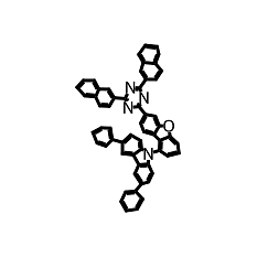 c1ccc(-c2ccc3c(c2)c2cc(-c4ccccc4)ccc2n3-c2cccc3oc4cc(-c5nc(-c6ccc7ccccc7c6)nc(-c6ccc7ccccc7c6)n5)ccc4c23)cc1